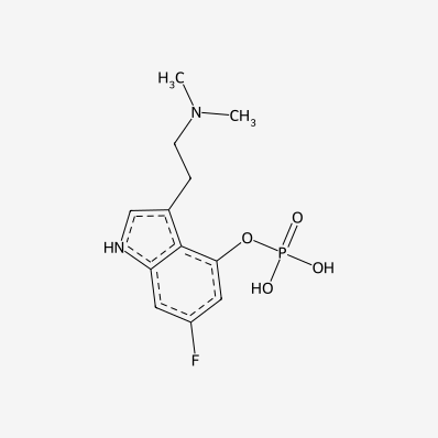 CN(C)CCc1c[nH]c2cc(F)cc(OP(=O)(O)O)c12